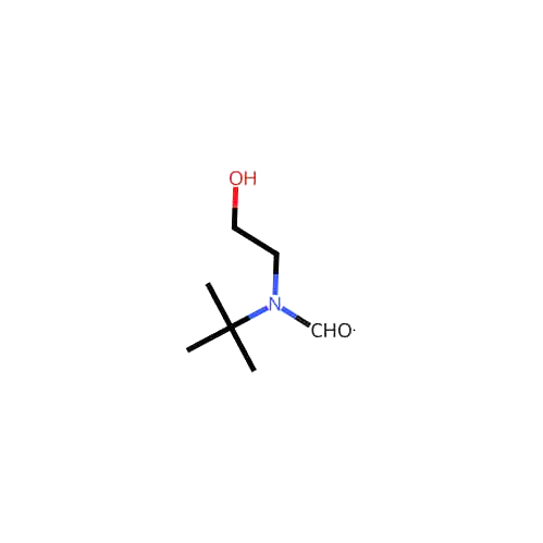 CC(C)(C)N([C]=O)CCO